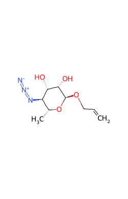 C=CCO[C@H]1O[C@H](C)[C@@H](N=[N+]=[N-])[C@H](O)[C@@H]1O